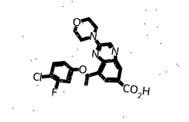 CC(Oc1ccc(Cl)c(F)c1)c1cc(C(=O)O)cc2ncc(N3CCOCC3)nc12